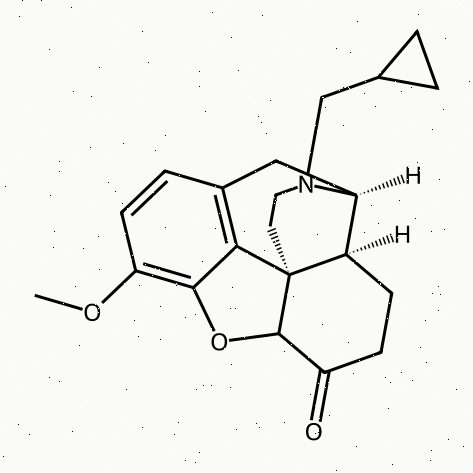 COc1ccc2c3c1OC1C(=O)CC[C@@H]4[C@H](C2)N(CC2CC2)CC[C@@]314